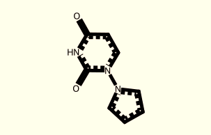 O=c1ccn(-n2cccc2)c(=O)[nH]1